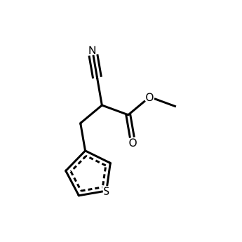 COC(=O)C(C#N)Cc1ccsc1